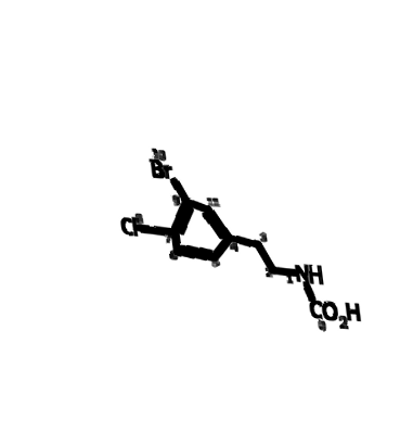 O=C(O)NCCc1ccc(Cl)c(Br)c1